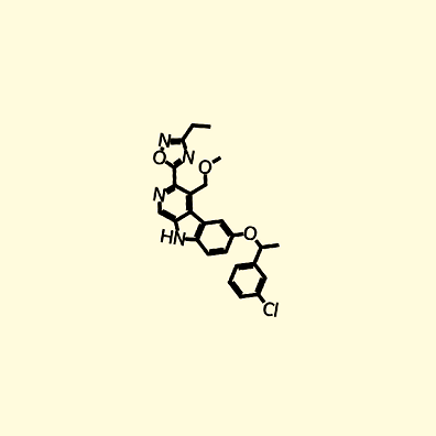 CCc1noc(-c2ncc3[nH]c4ccc(OC(C)c5cccc(Cl)c5)cc4c3c2COC)n1